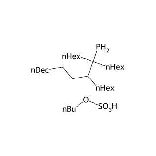 CCCCCCCCCCCCC(CCCCCC)C(P)(CCCCCC)CCCCCC.CCCCOS(=O)(=O)O